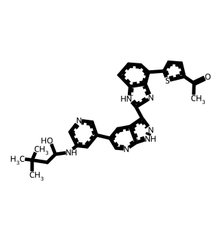 CC(=O)c1ccc(-c2cccc3[nH]c(-c4n[nH]c5ncc(-c6cncc(NC(O)CC(C)(C)C)c6)cc45)nc23)s1